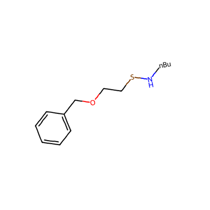 CCCCNSCCOCc1ccccc1